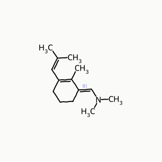 CC(C)=CC1=C(C)/C(=C/N(C)C)CCC1